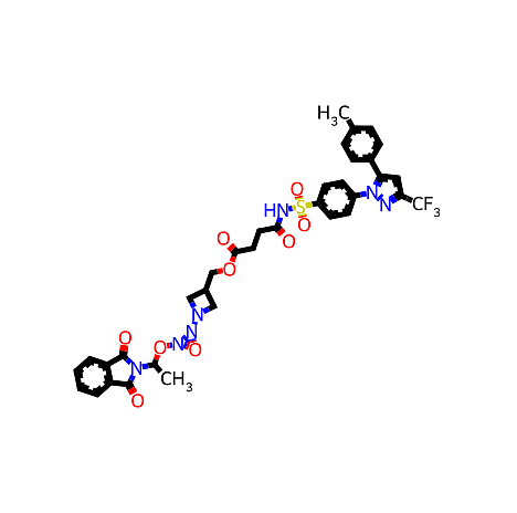 Cc1ccc(-c2cc(C(F)(F)F)nn2-c2ccc(S(=O)(=O)NC(=O)CCC(=O)OCC3CN(n4on4OC(C)N4C(=O)c5ccccc5C4=O)C3)cc2)cc1